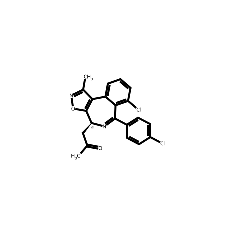 CC(=O)C[C@@H]1N=C(c2ccc(Cl)cc2)c2c(Cl)cccc2-c2c(C)noc21